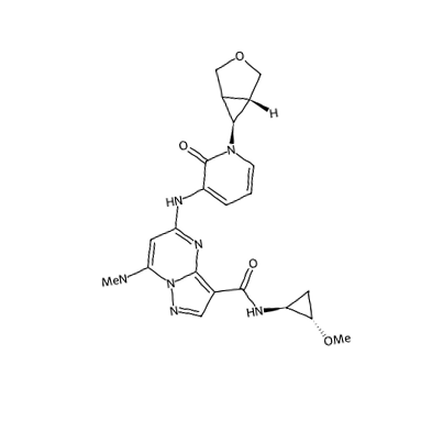 CNc1cc(Nc2cccn([C@H]3C4COC[C@@H]43)c2=O)nc2c(C(=O)N[C@H]3C[C@@H]3OC)cnn12